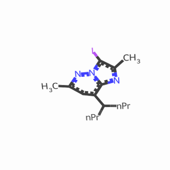 CCCC(CCC)c1cc(C)nn2c(I)c(C)nc12